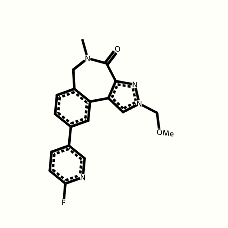 COCn1cc2c(n1)C(=O)N(C)Cc1ccc(-c3ccc(F)nc3)cc1-2